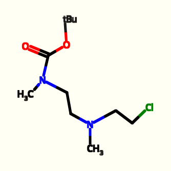 CN(CCCl)CCN(C)C(=O)OC(C)(C)C